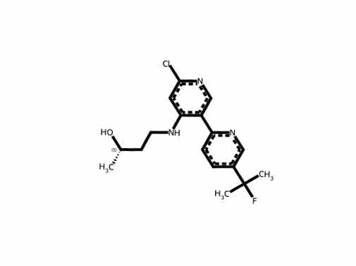 C[C@H](O)CCNc1cc(Cl)ncc1-c1ccc(C(C)(C)F)cn1